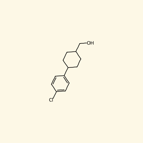 OCC1CCC(c2ccc(Cl)cc2)CC1